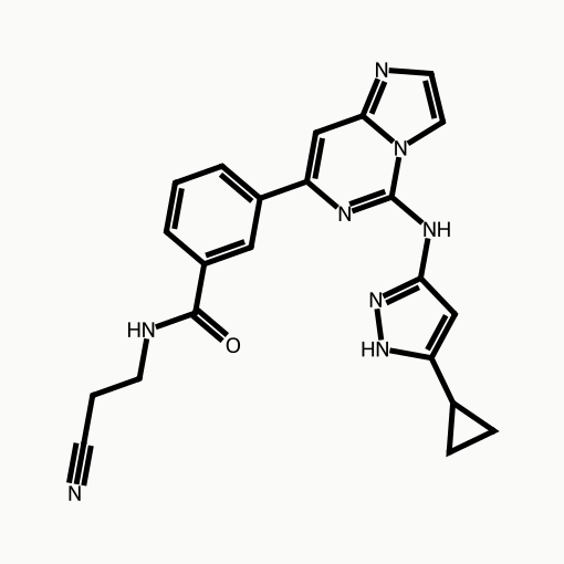 N#CCCNC(=O)c1cccc(-c2cc3nccn3c(Nc3cc(C4CC4)[nH]n3)n2)c1